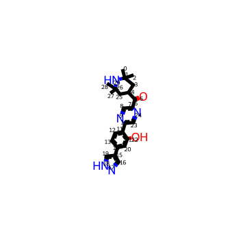 CC1(C)CC(C(=O)c2cnc(-c3ccc(-c4cn[nH]c4)cc3O)cn2)CC(C)(C)N1